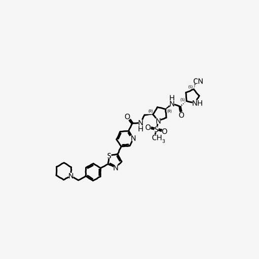 CS(=O)(=O)N1C[C@H](NC(=O)[C@@H]2C[C@H](C#N)CN2)C[C@@H]1CNC(=O)c1ccc(-c2cnc(-c3ccc(CN4CCCCC4)cc3)s2)cn1